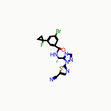 C[C@H](NC(=O)c1cc(Br)cc(C2(F)CC2)c1)c1ncnn1-c1ncc(C#N)s1